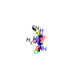 CCCSC(=S)S[C@@H]1NC(=O)[C@H]1NC(=O)C(=NOC)c1csc(NC(=O)CCl)n1